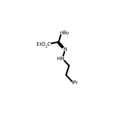 CCCCC(=NNCCC(C)C)C(=O)OCC